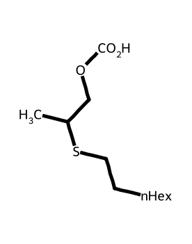 CCCCCCCCSC(C)COC(=O)O